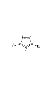 CCc1csc(Cl)n1